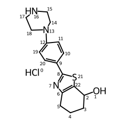 Cl.OC1CCCc2nc(-c3ccc(N4CCNCC4)cc3)sc21